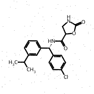 CC(C)c1cccc([C@H](NC(=O)C2CNC(=O)O2)c2ccc(Cl)cc2)c1